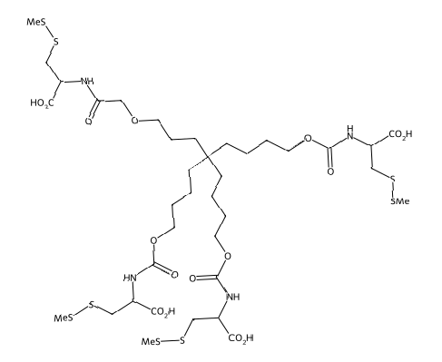 CSSCC(NC(=O)COCCCC(CCCCOC(=O)NC(CSSC)C(=O)O)(CCCCOC(=O)NC(CSSC)C(=O)O)CCCCOC(=O)NC(CSSC)C(=O)O)C(=O)O